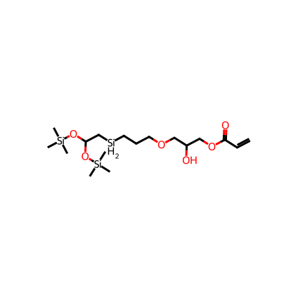 C=CC(=O)OCC(O)COCCC[SiH2]CC(O[Si](C)(C)C)O[Si](C)(C)C